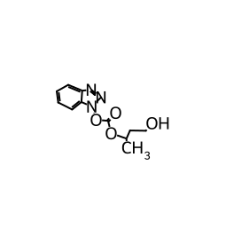 CC(CCO)OC(=O)On1nnc2ccccc21